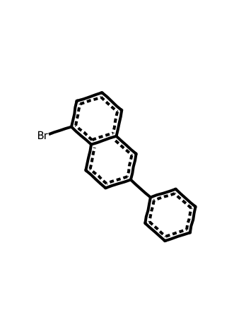 Brc1cccc2cc(-c3ccccc3)ccc12